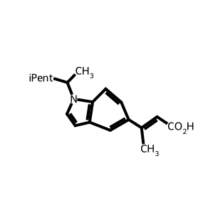 CCCC(C)C(C)n1ccc2cc(/C(C)=C/C(=O)O)ccc21